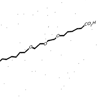 O=C(O)CCCCCOCCOCCOCCCCCCI